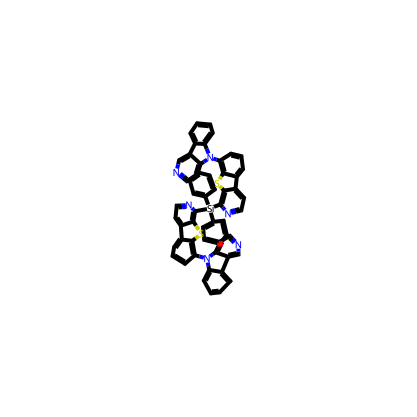 c1ccc([Si](c2ccccc2)(c2nccc3c2sc2c(-n4c5ccccc5c5cnccc54)cccc23)c2nccc3c2sc2c(-n4c5ccccc5c5cnccc54)cccc23)cc1